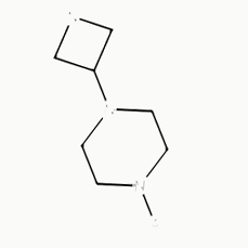 CC(=O)N1CCN(C2CNC2)CC1